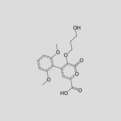 COc1cccc(OC)c1-c1cc(C(=O)O)oc(=O)c1OCCCO